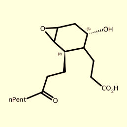 CCCCCC(=O)CC[C@H]1C2OC2C[C@H](O)C1CCC(=O)O